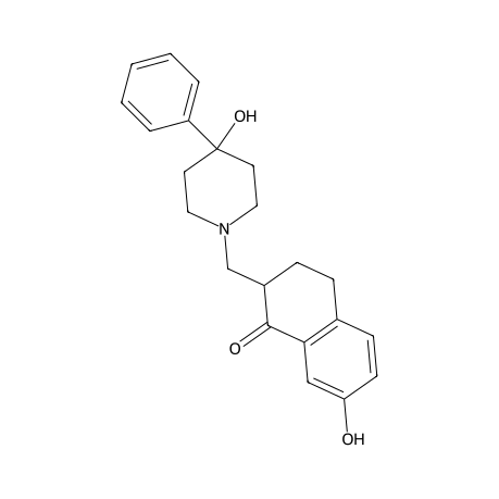 O=C1c2cc(O)ccc2CCC1CN1CCC(O)(c2ccccc2)CC1